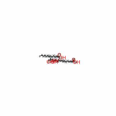 CC(CO)(CO)CO.CCCCCCCCCCCCCC(=O)O.CCCCCCCCCCCCCC(=O)O